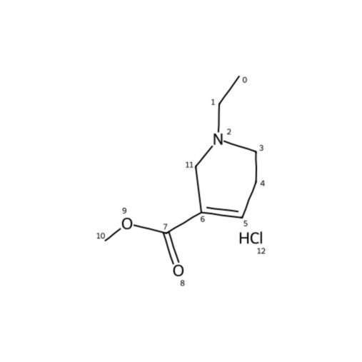 CCN1CCC=C(C(=O)OC)C1.Cl